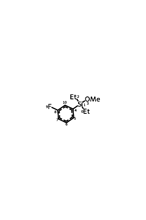 CC[Si](CC)(OC)c1cccc(F)c1